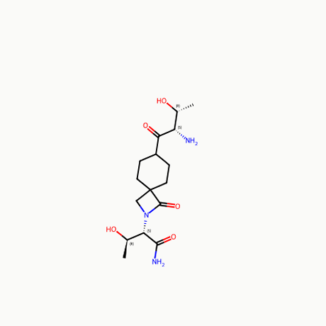 C[C@@H](O)[C@H](N)C(=O)C1CCC2(CC1)CN([C@H](C(N)=O)[C@@H](C)O)C2=O